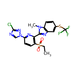 CCS(=O)(=O)c1ccc(-n2cnc(Cl)n2)nc1-c1nc2cc(SC(F)(F)F)ccc2n1C